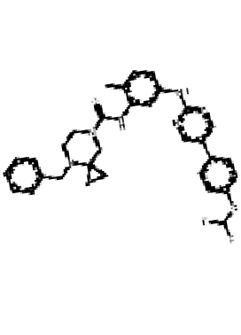 Cc1ccc(Nc2ncc(-c3ccc(OC(F)F)cc3)cn2)cc1NC(=O)N1CCN(Cc2ccccc2)C2(CC2)C1